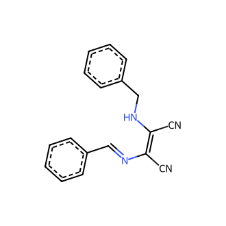 N#CC(N=Cc1ccccc1)=C(C#N)NCc1ccccc1